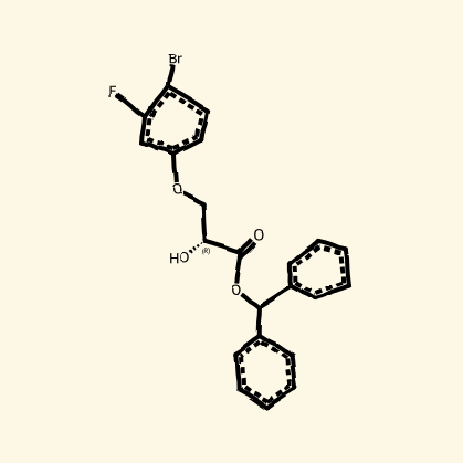 O=C(OC(c1ccccc1)c1ccccc1)[C@H](O)COc1ccc(Br)c(F)c1